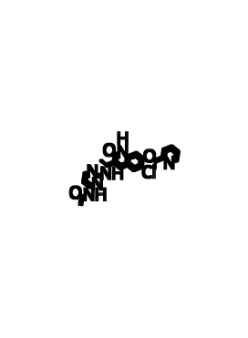 CC(=O)Nc1ccnc(N[C@@H](C)c2cc3cc(Cl)c(O[C@H](C)c4ccccn4)cc3[nH]c2=O)n1